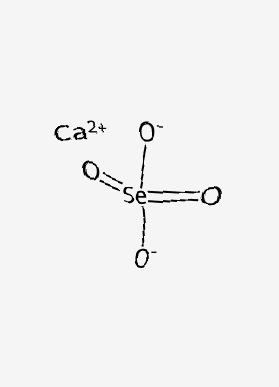 O=[Se](=O)([O-])[O-].[Ca+2]